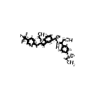 CCn1c(Cc2ccc(C(F)(F)F)cn2)cc2cc(C(=O)NC(CO)c3ccc([S+]([O-])CC)cc3)ccc21